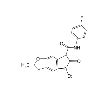 CCN1C(=O)C(C(=O)Nc2ccc(F)cc2)c2cc3c(cc21)CC(C)O3